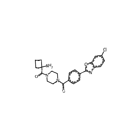 NC1(C(=O)N2CCN(C(=O)c3ccc(-c4nc5ccc(Cl)cc5o4)cc3)CC2)CCC1